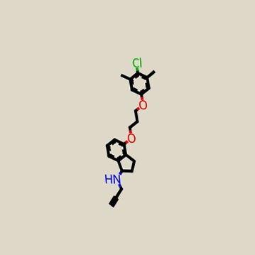 C#CCNC1CCc2c(OCCCOc3cc(C)c(Cl)c(C)c3)cccc21